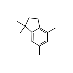 Cc1cc(C)c2c(c1)C(C)(C)CC2